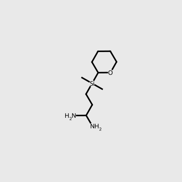 C[Si](C)(CCC(N)N)C1CCCCO1